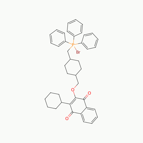 O=C1C(OCC2CCC(CP(Br)(c3ccccc3)(c3ccccc3)c3ccccc3)CC2)=C(C2CCCCC2)C(=O)c2ccccc21